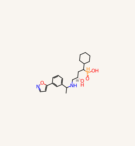 CC(NC[C@@H](O)CC(C1CCCCC1)[PH](=O)O)c1cccc(-c2ccno2)c1